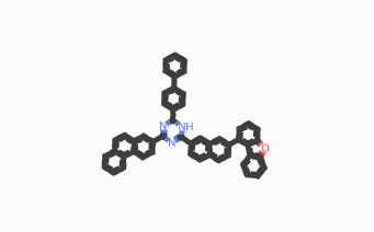 c1ccc(-c2ccc(C3N=C(c4ccc5c(ccc6ccccc65)c4)N=C(c4ccc5ccc(-c6cccc7oc8ccccc8c67)cc5c4)N3)cc2)cc1